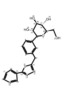 OC[C@H]1OC(c2cccc(Cc3nnc(-c4cccnc4)s3)c2)[C@H](O)[C@@H](O)[C@@H]1O